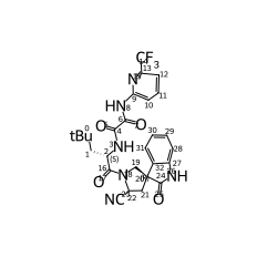 CC(C)(C)C[C@H](NC(=O)C(=O)Nc1cccc(C(F)(F)F)n1)C(=O)N1C[C@]2(CC1C#N)C(=O)Nc1ccccc12